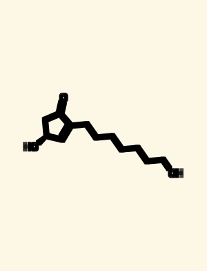 O=C1C[C@H](O)C=C1CCCCCCCO